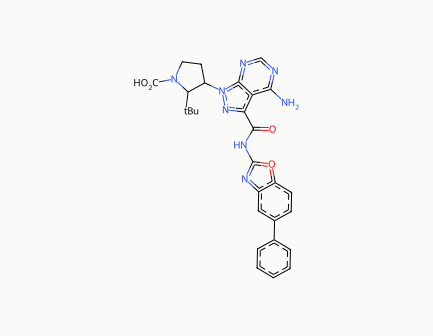 CC(C)(C)C1C(n2nc(C(=O)Nc3nc4cc(-c5ccccc5)ccc4o3)c3c(N)ncnc32)CCN1C(=O)O